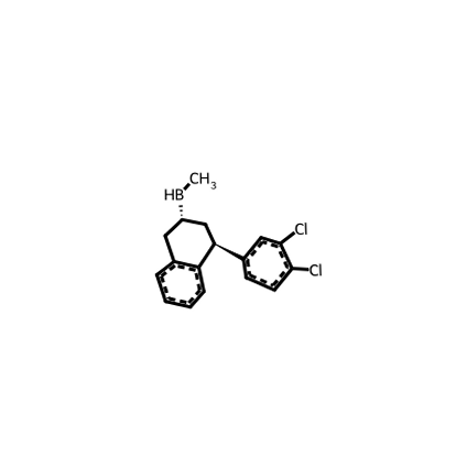 CB[C@H]1Cc2ccccc2[C@H](c2ccc(Cl)c(Cl)c2)C1